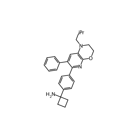 CC(C)CN1CCOc2nc(-c3ccc(C4(N)CCC4)cc3)c(-c3ccccc3)cc21